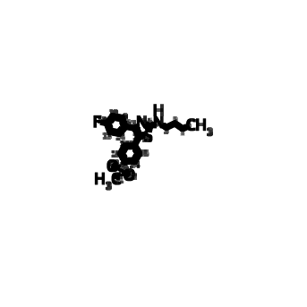 CCCCNc1nc(-c2ccc(F)cc2)c(-c2ccc(S(C)(=O)=O)cc2)s1